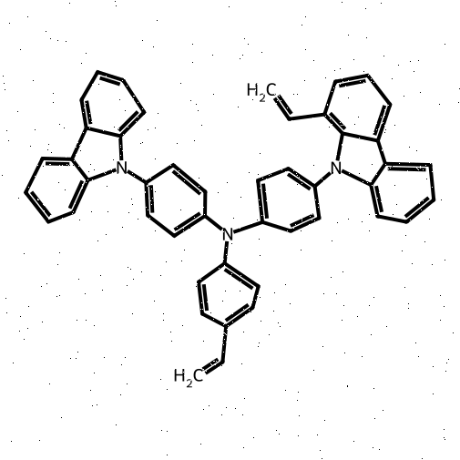 C=Cc1ccc(N(c2ccc(-n3c4ccccc4c4ccccc43)cc2)c2ccc(-n3c4ccccc4c4cccc(C=C)c43)cc2)cc1